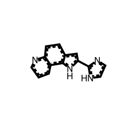 c1cnc2ccc3cc(-c4ncc[nH]4)[nH]c3c2c1